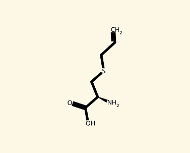 C=CCSC[C@@H](N)C(=O)O